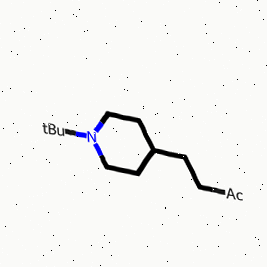 CC(=O)CCC1CCN(C(C)(C)C)CC1